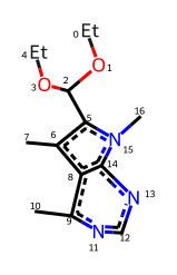 CCOC(OCC)c1c(C)c2c(C)ncnc2n1C